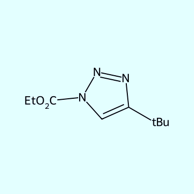 CCOC(=O)n1cc(C(C)(C)C)nn1